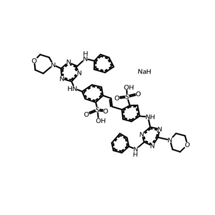 O=S(=O)(O)c1cc(Nc2nc(Nc3ccccc3)nc(N3CCOCC3)n2)ccc1/C=C/c1ccc(Nc2nc(Nc3ccccc3)nc(N3CCOCC3)n2)cc1S(=O)(=O)O.[NaH]